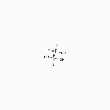 O=S(=O)(O)[SH](=O)(O)O